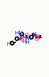 CC(C)(C)OC(=O)n1ncc2cc(NC(=O)N[C@@H]3CCNC[C@H]3C(=O)N3CCC[C@@H](Cc4ccc(F)cc4)C3)ccc21